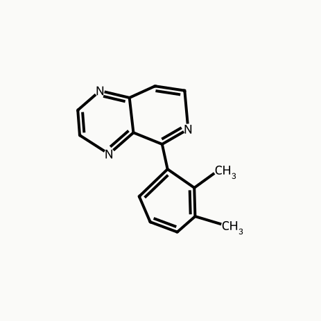 Cc1cccc(-c2nccc3nccnc23)c1C